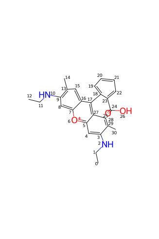 CCNc1cc2[o+]c3cc(NCC)c(C)cc3c(-c3ccccc3C(=O)O)c2cc1C